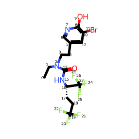 CCN(CCc1cnc(O)c(Br)c1)C(=O)N[C@@H](CCC(F)(F)F)C(F)(F)F